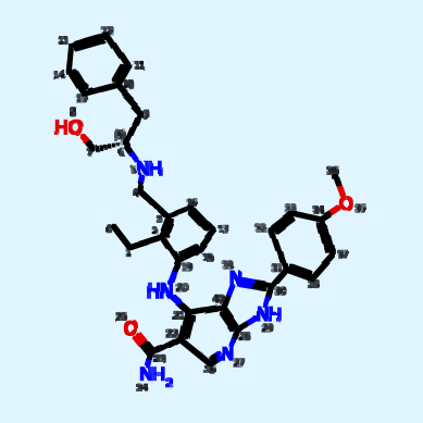 CCc1c(CN[C@H](CO)Cc2ccccc2)cccc1Nc1c(C(N)=O)cnc2[nH]c(-c3ccc(OC)cc3)nc12